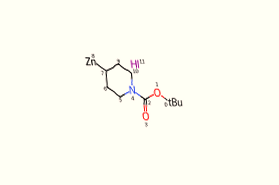 CC(C)(C)OC(=O)N1CC[CH]([Zn])CC1.I